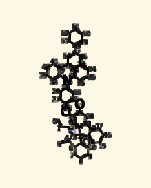 C=C/C=C1\C(=C)c2ccccc2C12c1ccccc1-c1cc3c(cc12)Oc1ccc(N(c2ccccc2)c2ccccc2-c2cccc(-c4ccccc4)c2)cc1O3